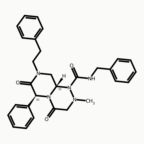 CN1CC(=O)N2[C@@H](c3ccccc3)C(=O)N(CCc3ccccc3)C[C@@H]2N1C(=O)NCc1ccccc1